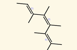 C/C=C(C)/C(C)=C(C)\C(C)=C(/C)F